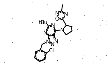 Cc1noc(C2CCCN2c2nc(C(C)(C)C)nc3c2nnn3Cc2ccccc2Cl)n1